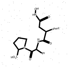 CCCCCC(CC(=O)NO)C(=O)NC(C(=O)N1CCCC1C(=O)O)C(C)C